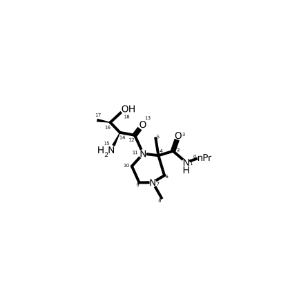 CCCNC(=O)C1(C)CN(C)CCN1C(=O)[C@@H](N)[C@@H](C)O